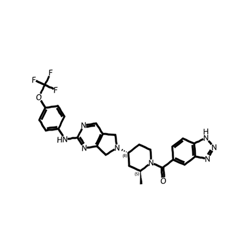 C[C@H]1C[C@H](N2Cc3cnc(Nc4ccc(OC(F)(F)F)cc4)nc3C2)CCN1C(=O)c1ccc2[nH]nnc2c1